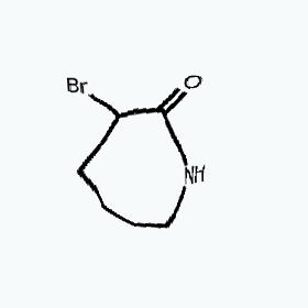 O=C1NCCCC1Br